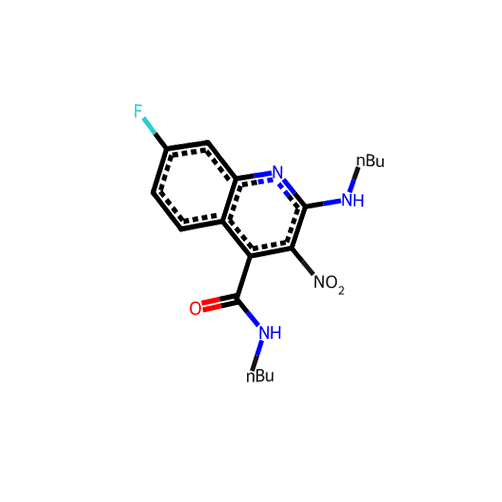 CCCCNC(=O)c1c([N+](=O)[O-])c(NCCCC)nc2cc(F)ccc12